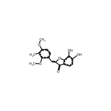 COc1ccc(C=C2Oc3c(ccc(O)c3O)C2=O)c(OC)c1C